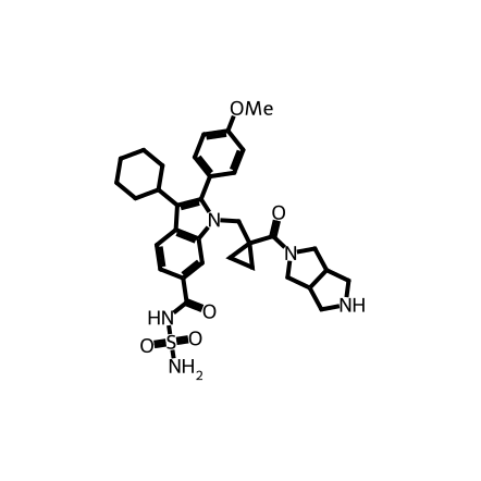 COc1ccc(-c2c(C3CCCCC3)c3ccc(C(=O)NS(N)(=O)=O)cc3n2CC2(C(=O)N3CC4CNCC4C3)CC2)cc1